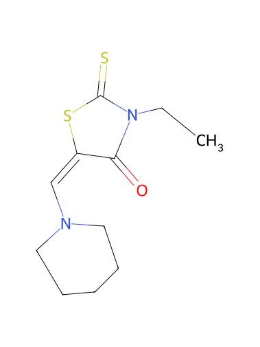 CCN1C(=O)/C(=C\N2CCCCC2)SC1=S